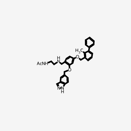 CC(=O)NCCNCc1ccc(OCc2cccc(-c3ccccc3)c2C)cc1OCc1ccc2[nH]ncc2c1